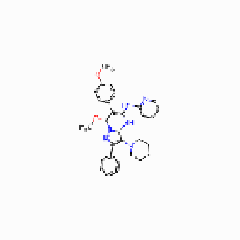 COc1ccc(C2=C(Nc3ccccn3)Nc3c(N4CCCCC4)c(-c4ccccc4)nn3C2OC)cc1